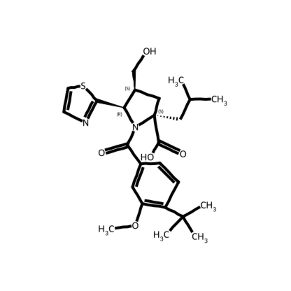 COc1cc(C(=O)N2[C@@H](c3nccs3)[C@@H](CO)C[C@@]2(CC(C)C)C(=O)O)ccc1C(C)(C)C